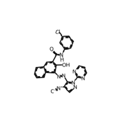 [C-]#[N+]c1cnn(-c2ncccn2)c1/N=N/c1c(O)c(C(=O)Nc2cccc(Cl)c2)cc2ccccc12